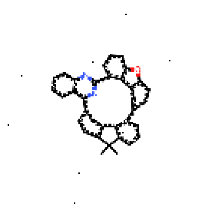 CC1(C)c2ccc3cc2c2c1cccc2c1ccc2oc4cccc(c5nc6ccccc6c3n5)c4c2c1